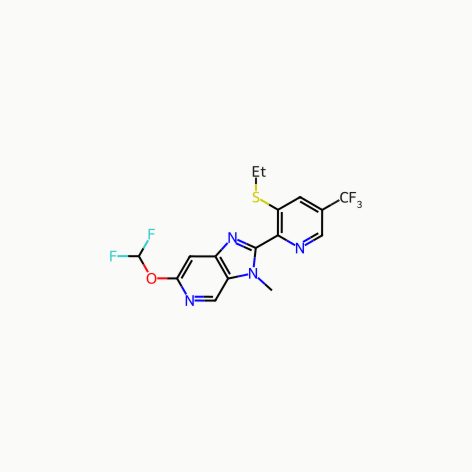 CCSc1cc(C(F)(F)F)cnc1-c1nc2cc(OC(F)F)ncc2n1C